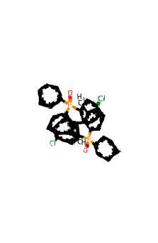 Cc1c(Cl)ccc(P(=O)(c2ccccc2)c2ccccc2)c1-c1c(P(=O)(c2ccccc2)c2ccccc2)ccc(Cl)c1C